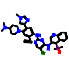 COc1cc(N2CCC(N(C)C)CC2)c(-c2cn(C)cn2)cc1Nc1ncc(Br)c(Nc2cnc3ccccc3c2P(C)(C)=O)n1